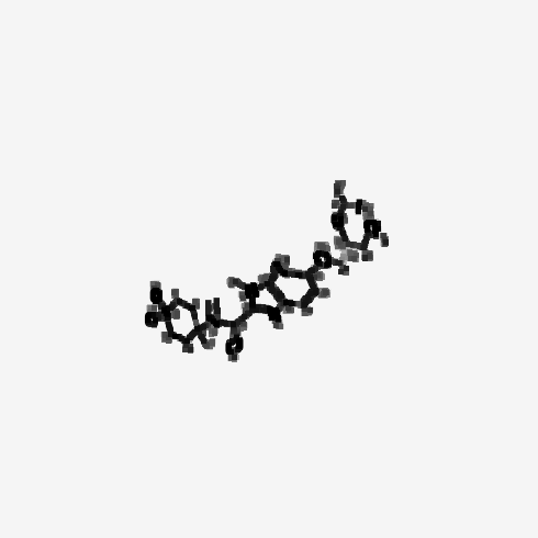 Cn1c(C(=O)NC2(C)CCS(=O)(=O)CC2)nc2ccc(OC[C@@H](CC(F)(F)F)OC(F)F)nc21